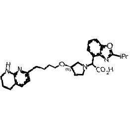 CC(C)c1nc2c(C(C(=O)O)N3CC[C@@H](OCCCCc4ccc5c(n4)NCCC5)C3)cccc2o1